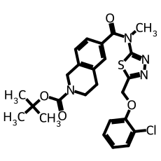 CN(C(=O)c1ccc2c(c1)CCN(C(=O)OC(C)(C)C)C2)c1nnc(COc2ccccc2Cl)s1